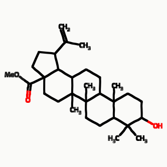 C=C(C)C1CCC2(C(=O)OC)CCC3(C)C(CCC4C5(C)CCC(O)C(C)(C)C5CCC43C)C12